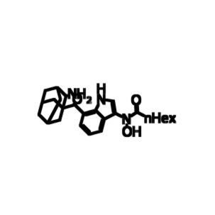 CCCCCCC(=O)N(O)c1c[nH]c2c(C(=O)C34CC5CC(CC(C5)C3N)C4)cccc12